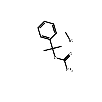 CC(C)(OC(N)=O)c1ccccc1.CCC